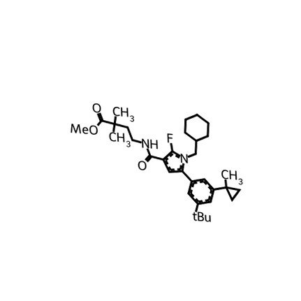 COC(=O)C(C)(C)CCNC(=O)c1cc(-c2cc(C(C)(C)C)cc(C3(C)CC3)c2)n(CC2CCCCC2)c1F